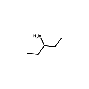 CC[CH]([InH2])CC